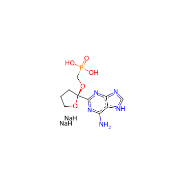 Nc1nc([C@@]2(OCP(=O)(O)O)CCCO2)nc2nc[nH]c12.[NaH].[NaH]